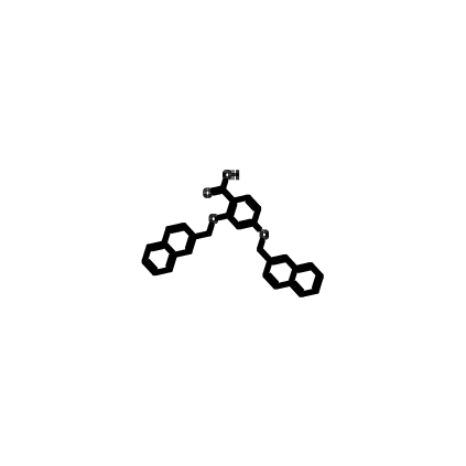 O=C(O)c1ccc(OCc2ccc3ccccc3c2)cc1OCc1ccc2ccccc2c1